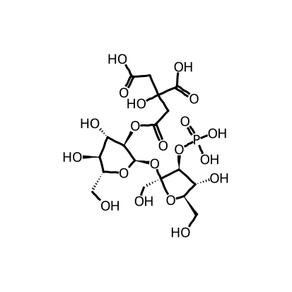 O=C(O)CC(O)(CC(=O)O[C@H]1[C@@H](O[C@]2(CO)O[C@H](CO)[C@@H](O)[C@@H]2OP(=O)(O)O)O[C@H](CO)[C@@H](O)[C@@H]1O)C(=O)O